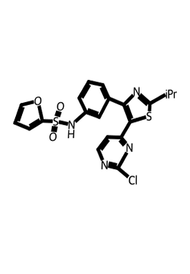 CC(C)c1nc(-c2cccc(NS(=O)(=O)c3ccco3)c2)c(-c2ccnc(Cl)n2)s1